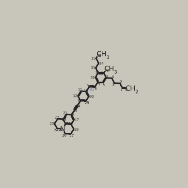 C=CCCCc1cc(/C=C/c2ccc(C#Cc3cc4c5c(c3)CCCN5CCC4)cc2)cc(CCCC)c1C